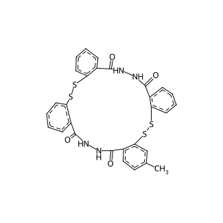 Cc1ccc2c(c1)SSc1ccccc1C(=O)NNC(=O)c1ccccc1SSc1ccccc1C(=O)NNC2=O